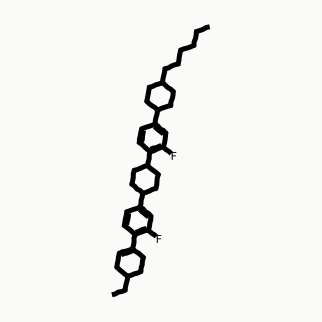 CCCCCCC1CCC(c2ccc(C3CCC(c4ccc(C5=CCC(CC)CC5)c(F)c4)CC3)c(F)c2)CC1